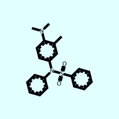 Cc1cc(N(c2ccccc2)S(=O)(=O)c2ccccc2)ccc1N(C)C